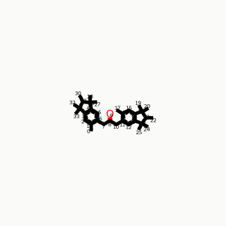 Cc1cc2c(cc1CC(=O)Cc1cc3c(cc1C)C(C)(C)C(C)C3(C)C)C(C)(C)C(C)C2(C)C